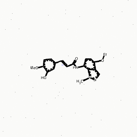 CCOc1ccc(NC(=O)/C=C/c2ccc(OC)c(O)c2)c2c1cnn2C